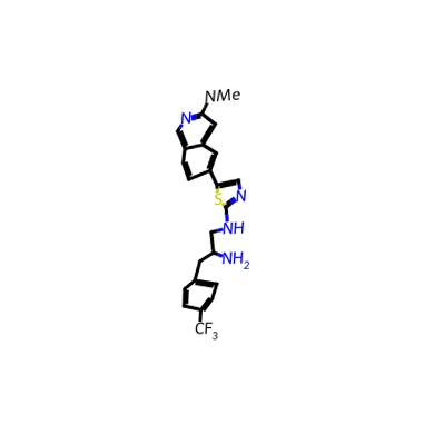 CNc1cc2cc(-c3cnc(NCC(N)Cc4ccc(C(F)(F)F)cc4)s3)ccc2cn1